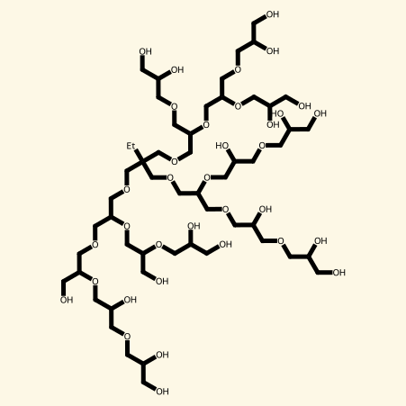 CCC(COCC(COCC(O)COCC(O)CO)OCC(O)COCC(O)CO)(COCC(COCC(CO)OCC(O)COCC(O)CO)OCC(CO)OCC(O)CO)COCC(COCC(O)CO)OCC(COCC(O)CO)OCC(O)CO